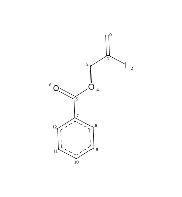 C=C(I)COC(=O)c1ccccc1